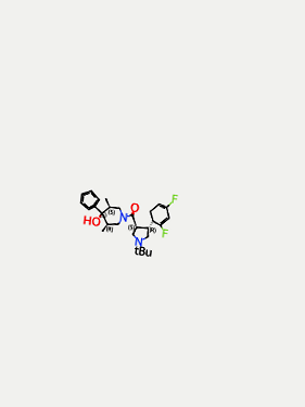 C[C@@H]1CN(C(=O)[C@@H]2CN(C(C)(C)C)C[C@H]2C2CC=C(F)C=C2F)C[C@H](C)[C@@]1(O)c1ccccc1